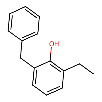 CCc1cccc(Cc2ccccc2)c1O